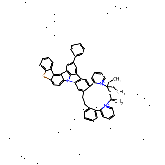 C=C1CC(CC)(CC)[n+]2ccccc2-c2cc3c4cc(-c5ccccc5)cc5c6c7c(ccc6n(c3cc2CCc2ccccc2-c2cccc[n+]21)c45)sc1ccccc17